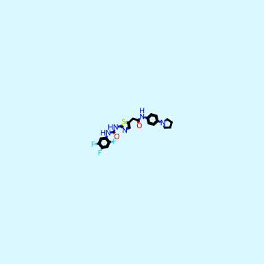 O=C(Cc1cnc(NC(=O)Nc2cc(F)c(F)cc2F)s1)Nc1ccc(N2CCCC2)cc1